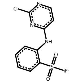 CC(C)S(=O)(=O)c1ccccc1Nc1ccnc(Cl)n1